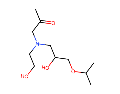 CC(=O)CN(CCO)CC(O)COC(C)C